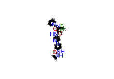 CC(C)NC(=O)NC1CCN(c2ccc(NC(=O)c3oc(N4CCCCC4)nc3C(F)(F)F)cn2)CC1